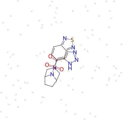 O=C(c1cnn[nH]1)N1CC2CCC(C1)N2S(=O)(=O)c1ccc2nsnc2c1